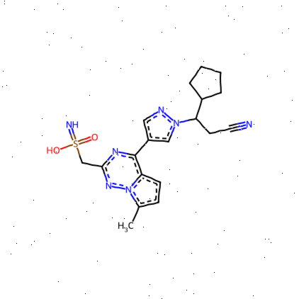 Cc1ccc2c(-c3cnn(C(CC#N)C4CCCC4)c3)nc(CS(=N)(=O)O)nn12